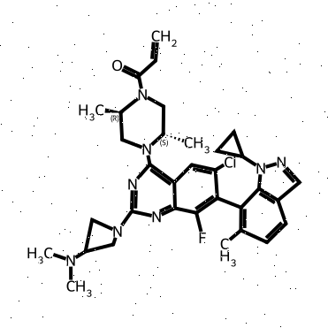 C=CC(=O)N1C[C@H](C)N(c2nc(N3CC(N(C)C)C3)nc3c(F)c(-c4c(C)ccc5cnn(C6CC6)c45)c(Cl)cc23)C[C@H]1C